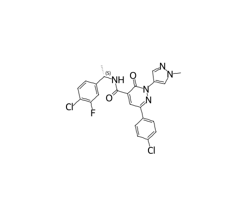 C[C@H](NC(=O)c1cc(-c2ccc(Cl)cc2)nn(-c2cnn(C)c2)c1=O)c1ccc(Cl)c(F)c1